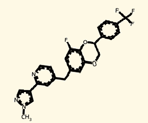 Cn1cc(-c2cc(Cc3cc(F)c4c(c3)OCC(c3ccc(C(F)(F)F)cc3)O4)ccn2)cn1